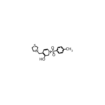 Cc1ccc(S(=O)(=O)N2C=CC(CN3CCSC3)=C(O)C2)cc1